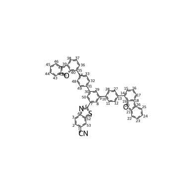 N#Cc1ccc2nc(-c3cc(-c4ccc(-c5cccc6c5oc5ccccc56)cc4)cc(-c4ccc(-c5cccc6c5oc5ccccc56)cc4)c3)sc2c1